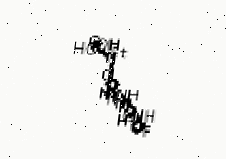 CCN(CCCOc1ccc2c(Nc3cc(CC(=O)Nc4cccc(F)c4)[nH]n3)ncnc2c1)CCCP(=O)(O)O